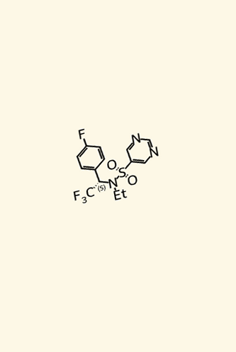 CCN([C@@H](c1ccc(F)cc1)C(F)(F)F)S(=O)(=O)c1cncnc1